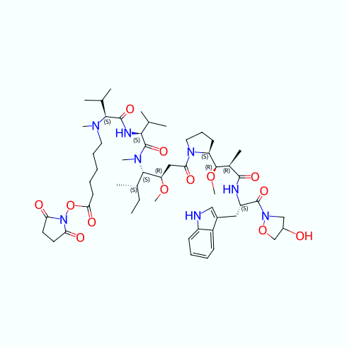 CC[C@H](C)[C@@H]([C@@H](CC(=O)N1CCC[C@H]1[C@H](OC)[C@@H](C)C(=O)N[C@@H](Cc1c[nH]c2ccccc12)C(=O)N1CC(O)CO1)OC)N(C)C(=O)[C@@H](NC(=O)[C@H](C(C)C)N(C)CCCCCC(=O)ON1C(=O)CCC1=O)C(C)C